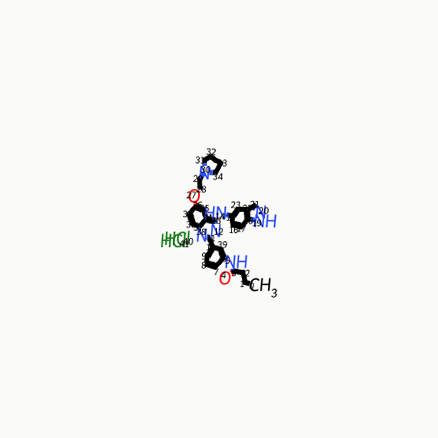 CCCC(=O)Nc1cccc(-c2nc(Nc3ccc4[nH]ncc4c3)c3cc(OCCN4CCCC4)ccc3n2)c1.Cl.Cl